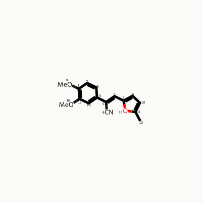 COc1ccc(C(C#N)=Cc2ccc(C)o2)cc1OC